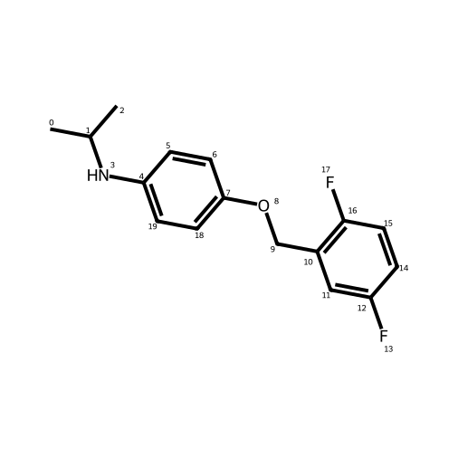 CC(C)Nc1ccc(OCc2cc(F)ccc2F)cc1